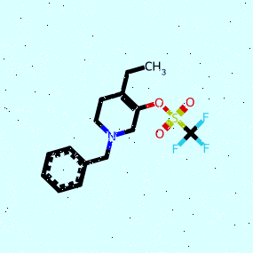 CCC1=C(OS(=O)(=O)C(F)(F)F)CN(Cc2ccccc2)CC1